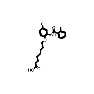 Cc1ccccc1C(=O)Nc1cc(Cl)ccc1OCCCCCCCC(=O)O